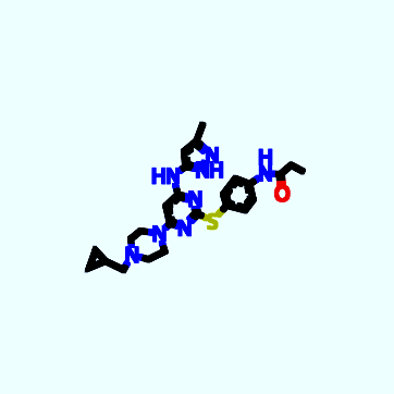 CCC(=O)Nc1ccc(Sc2nc(Nc3cc(C)n[nH]3)cc(N3CCN(CC4CC4)CC3)n2)cc1